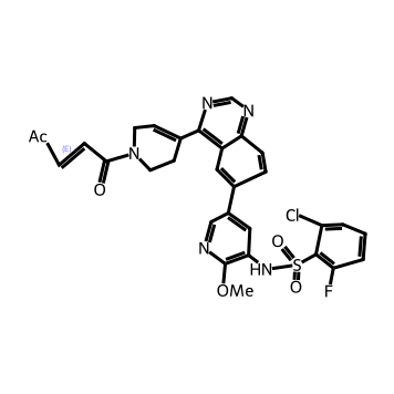 COc1ncc(-c2ccc3ncnc(C4=CCN(C(=O)/C=C/C(C)=O)CC4)c3c2)cc1NS(=O)(=O)c1c(F)cccc1Cl